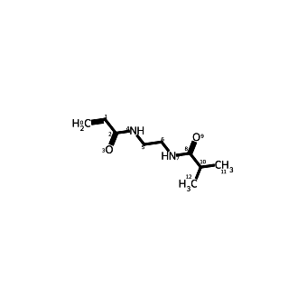 C=CC(=O)NCCNC(=O)C(C)C